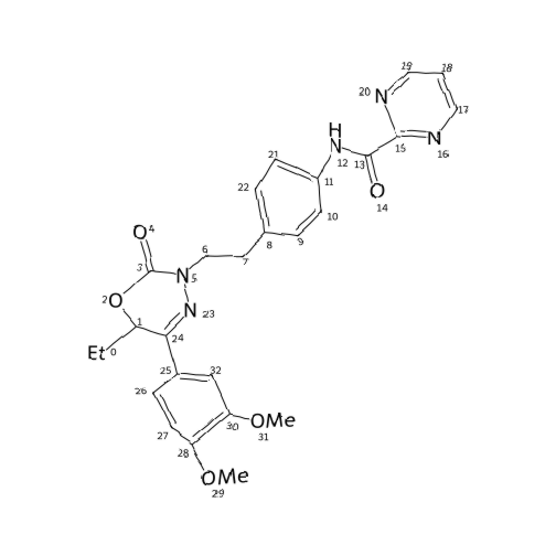 CCC1OC(=O)N(CCc2ccc(NC(=O)c3ncccn3)cc2)N=C1c1ccc(OC)c(OC)c1